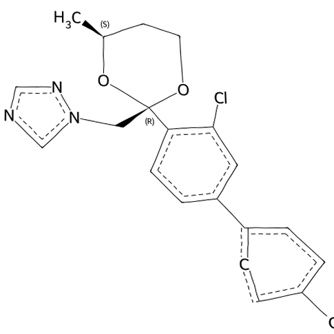 C[C@H]1CCO[C@](Cn2cncn2)(c2ccc(-c3ccc(Cl)cc3)cc2Cl)O1